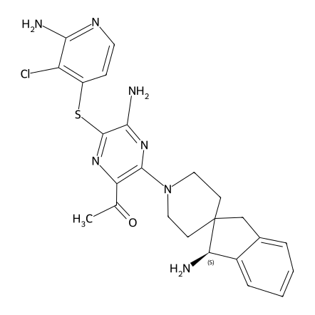 CC(=O)c1nc(Sc2ccnc(N)c2Cl)c(N)nc1N1CCC2(CC1)Cc1ccccc1[C@H]2N